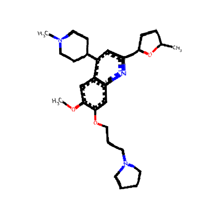 COc1cc2c(C3CCN(C)CC3)cc(C3CCC(C)O3)nc2cc1OCCCN1CCCC1